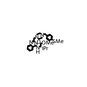 COC(=O)[C@@H](Nc1nc(CN2CCN(Cc3ccc(SC)cc3)CC2)nc2ccccc12)C(C)C